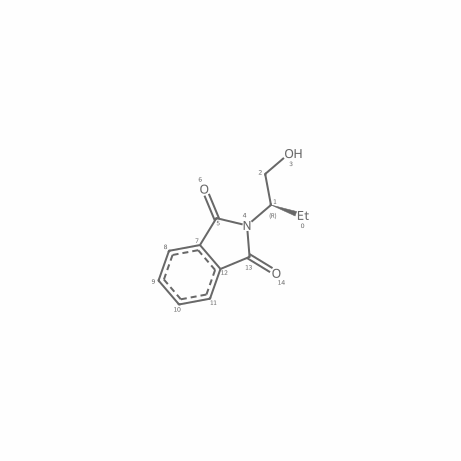 CC[C@H](CO)N1C(=O)c2ccccc2C1=O